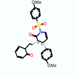 COc1ccc([C@H]2C=CN(S(=O)(=O)c3ccc(OC)cc3)C(=O)[C@H]2CCC2C=CC=CC2=O)cc1